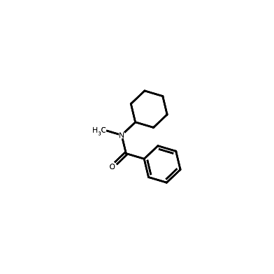 CN(C(=O)c1ccccc1)C1CCCCC1